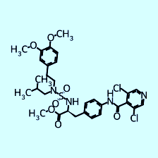 COC(=O)[C@H](Cc1ccc(NC(=O)c2c(Cl)cncc2Cl)cc1)NS(=O)(=O)N(CCc1ccc(OC)c(OC)c1)CC(C)C